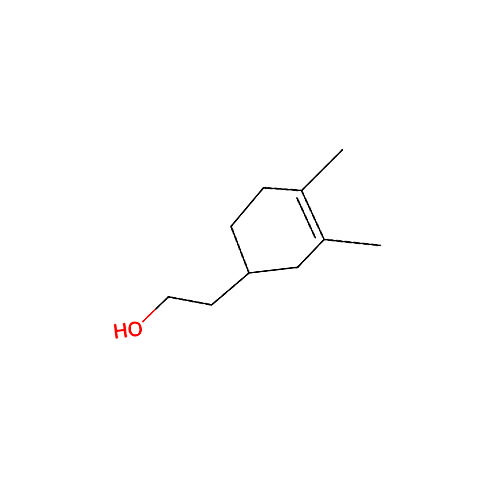 CC1=C(C)CC(CCO)CC1